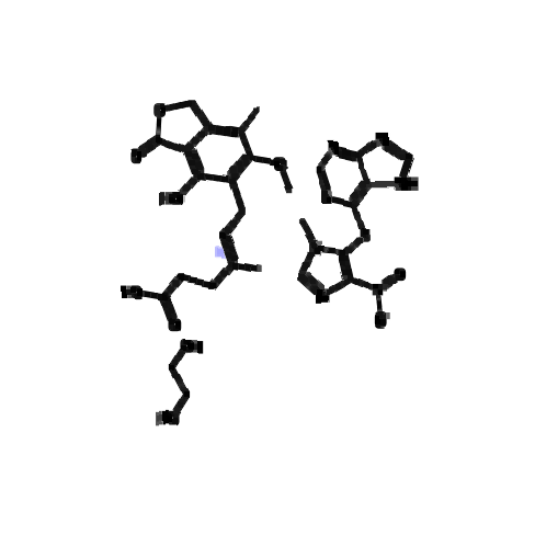 COc1c(C)c2c(c(O)c1C/C=C(\C)CCC(=O)O)C(=O)OC2.Cn1cnc([N+](=O)[O-])c1Sc1ncnc2nc[nH]c12.OCCO